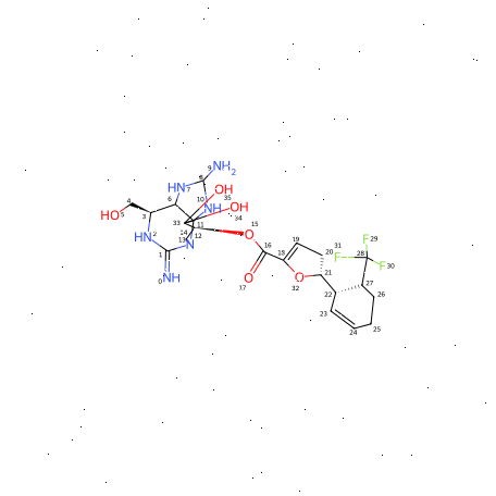 N=C1N[C@@H](CO)C2NC(N)NC23N1C[C@H](OC(=O)C1=CC[C@H]([C@H]2C=CCCC2C(F)(F)F)O1)C3(O)O